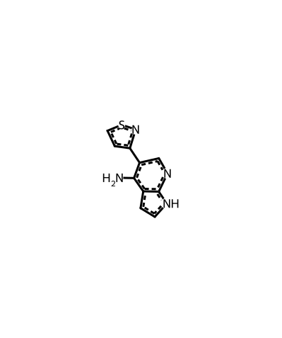 Nc1c(-c2ccsn2)cnc2[nH]ccc12